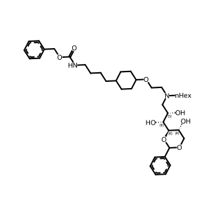 CCCCCCN(CCOC1CCC(CCCCNC(=O)OCc2ccccc2)CC1)C[C@H](O)[C@@H](O)[C@@H]1OC(c2ccccc2)OC[C@H]1O